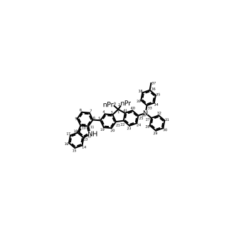 CCCC1(CCC)c2cc(-c3cccc4c3[nH]c3ccccc34)ccc2-c2ccc(N(c3ccccc3)c3ccc(C)cc3)cc21